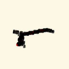 COCCOCCOCCOCCOCCOCCOCCOCCOCCOCCOC(C[C@H]1CN(c2ccc3cc(-c4ccccc4C(F)(F)F)[nH]c(=O)c3c2)C(=O)O1)C(=O)O